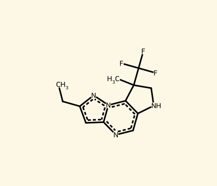 CCc1cc2ncc3c(n2n1)C(C)(C(F)(F)F)CN3